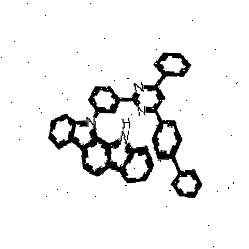 c1ccc(-c2ccc(-c3cc(-c4ccccc4)nc(-c4cccc(-n5c6ccccc6c6ccc7c8ccccc8[nH]c7c65)c4)n3)cc2)cc1